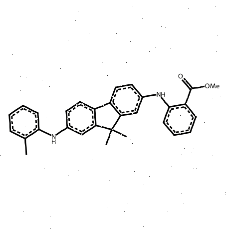 COC(=O)c1ccccc1Nc1ccc2c(c1)C(C)(C)c1cc(Nc3ccccc3C)ccc1-2